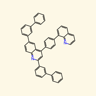 c1ccc(-c2cccc(-c3ccc4nc(-c5cccc(-c6ccccc6)c5)cc(-c5ccc(-c6cccc7cccnc67)cc5)c4c3)c2)cc1